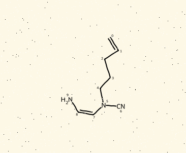 C=CCCCN(C#N)/C=C\N